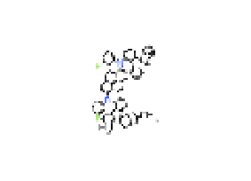 CC1CC2CC(C)C3(c4ccccc4-c4c(N(c5cccc(F)c5)c5ccc6ccc7c(N(c8cccc(F)c8)c8cccc9c8-c8ccccc8C98C9CC%10CC(C9)CC8C%10)ccc8ccc5c6c87)cccc43)C(C1)C2